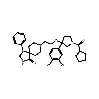 O=C(C1CCCC1)N1CCC(OCCN2CCC3(CC2)C(=O)NCN3c2ccccc2)(c2ccc(Cl)c(Cl)c2)C1